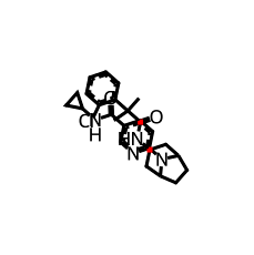 CC(C)(C(=O)NC1CC2CCC(C1)N2c1ccc(C(=O)NC2CC2)cn1)c1ccccc1Cl